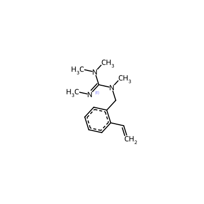 C=Cc1ccccc1CN(C)/C(=N/C)N(C)C